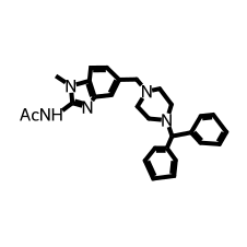 CC(=O)Nc1nc2cc(CN3CCN(C(c4ccccc4)c4ccccc4)CC3)ccc2n1C